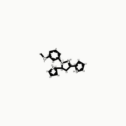 COc1cccc(N2N=C(c3cccs3)CC2c2cccs2)c1